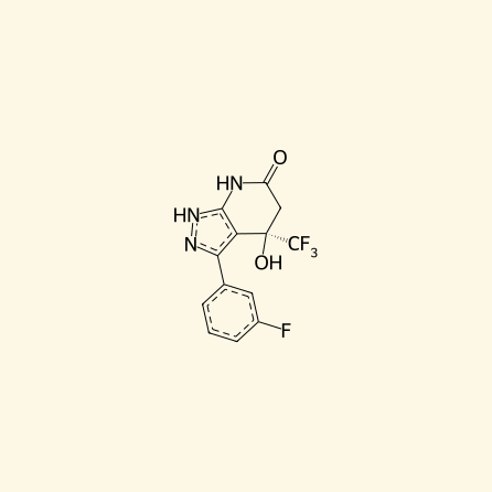 O=C1C[C@](O)(C(F)(F)F)c2c(-c3cccc(F)c3)n[nH]c2N1